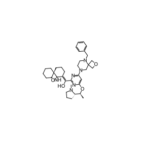 C[C@H](Oc1cc(N2CCN(Cc3ccccc3)C3(COC3)C2)nc(/C(O)=C2\CCC[C@@]3(CCCCC3=O)C2=N)n1)[C@@H]1CCCN1C